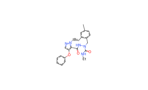 CCNC(=O)N(Cc1ccc(C)cc1C)NC(=O)c1c(Oc2ccccc2)cnn1C(C)(C)C